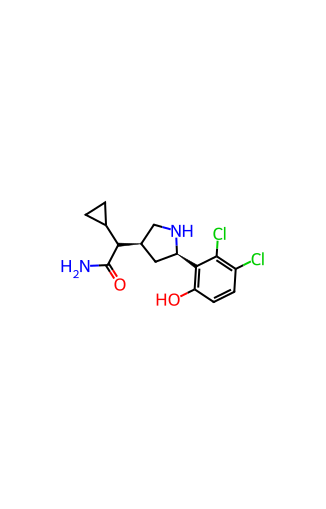 NC(=O)C(C1CC1)[C@H]1CN[C@@H](c2c(O)ccc(Cl)c2Cl)C1